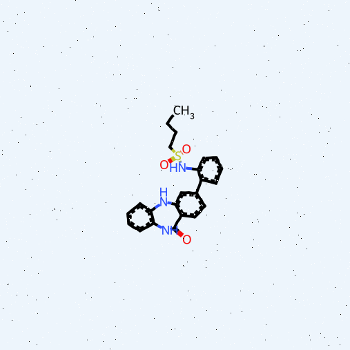 CCCCS(=O)(=O)Nc1ccccc1-c1ccc2c(c1)Nc1ccccc1NC2=O